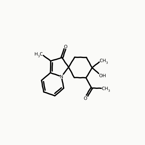 CC(=O)C1CC2(CCC1(C)O)C(=O)C(C)=C1C=CC=CN12